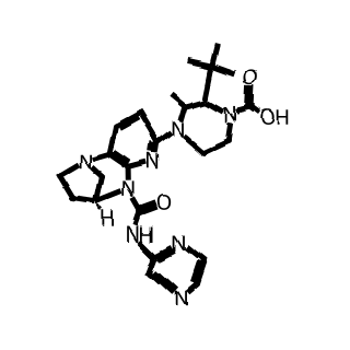 CC1C(C(C)(C)C)N(C(=O)O)CCN1c1ccc2c(n1)N(C(=O)Nc1cnccn1)[C@H]1CCN2C1